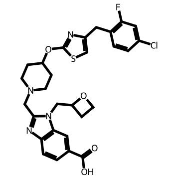 O=C(O)c1ccc2nc(CN3CCC(Oc4nc(Cc5ccc(Cl)cc5F)cs4)CC3)n(CC3CCO3)c2c1